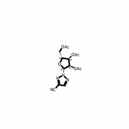 CC(=O)OC[C@H]1O[C@@H](n2ncc(C#N)n2)[C@H](OC(C)=O)[C@@H]1OC(C)=O